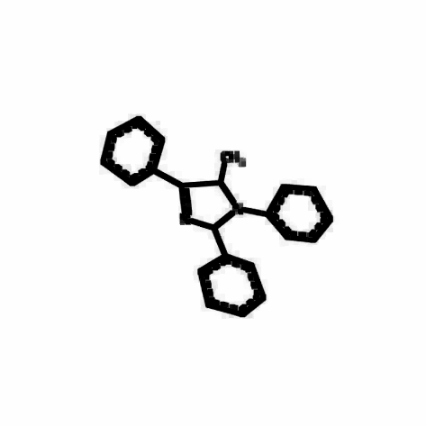 CC1C(c2ccccc2)=NC(c2ccccc2)N1c1ccccc1